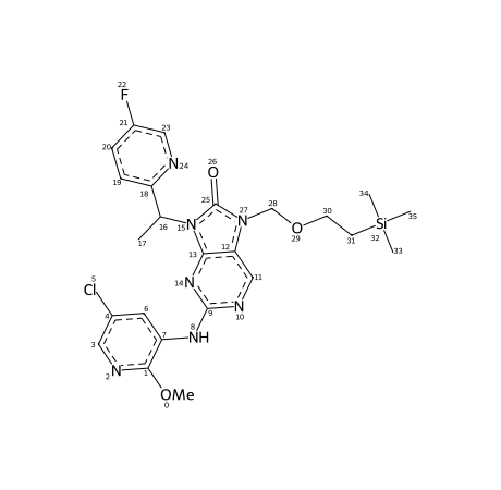 COc1ncc(Cl)cc1Nc1ncc2c(n1)n(C(C)c1ccc(F)cn1)c(=O)n2COCC[Si](C)(C)C